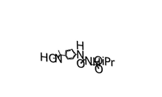 CC(=NO)c1ccc(NC(=O)NCC(=O)OC(C)C)cc1